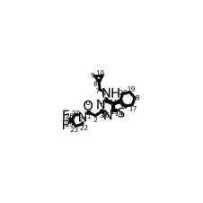 O=C(Cc1nc(NCC2CC2)c2c3c(sc2n1)CCCC3)N1CCC(F)(F)C1